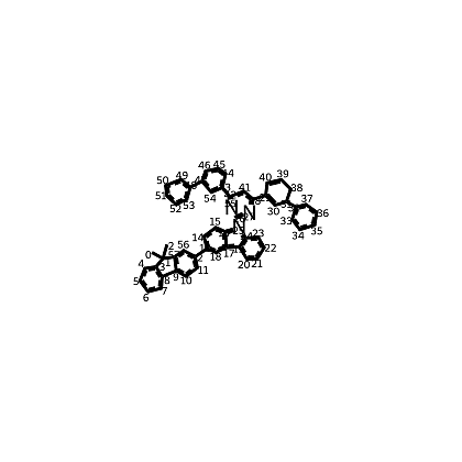 CC1(C)c2ccccc2-c2ccc(-c3ccc4c(c3)c3ccccc3n4-c3nc(C4=CC(c5ccccc5)CC=C4)cc(-c4cccc(-c5ccccc5)c4)n3)cc21